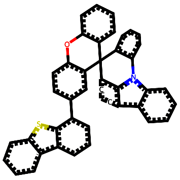 c1ccc2c(c1)Oc1ccc(-c3cccc4c3sc3ccccc34)cc1C21c2ccccc2-n2c3ccccc3c3cccc1c32